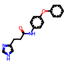 O=C(CCc1c[nH]cn1)Nc1ccc(Oc2ccccc2)cc1